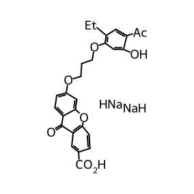 CCc1cc(C(C)=O)c(O)cc1OCCCOc1ccc2c(=O)c3cc(C(=O)O)ccc3oc2c1.[NaH].[NaH]